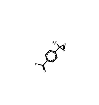 CC(C)C(=O)c1ccc(C2(C(F)(F)F)N=N2)cc1